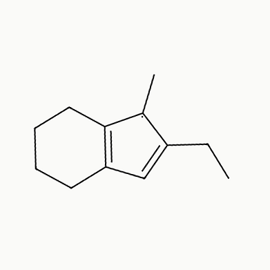 CCC1=CC2=C(CCCC2)[C]1C